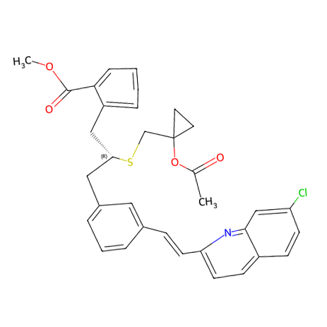 COC(=O)c1ccccc1C[C@@H](Cc1cccc(C=Cc2ccc3ccc(Cl)cc3n2)c1)SCC1(OC(C)=O)CC1